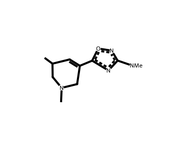 CNc1noc(C2=CC(C)CN(C)C2)n1